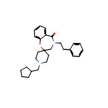 O=C1c2ccccc2OC2(CCN(CC3CCCC3)CC2)CN1CCc1ccccc1